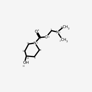 CN(C)COC(=O)N1CCC(O)CC1